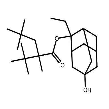 CCC1(OC(=O)C(C)(CC(C)(C)C)C(C)(C)C)C2CC3CC1CC(O)(C3)C2